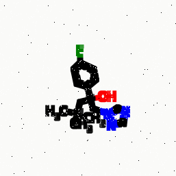 C[Si](C)(C)C[C@@](O)(Cn1cncn1)c1ccc(F)cc1